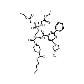 CCCCOC(=O)N1CCN(C(=O)[C@H](CCP(=O)(NCC(=O)OCC)NCC(=O)OCC)NC(=O)c2cc(N3CC[C@H](OC)C3)nc(-c3ccccc3)n2)CC1